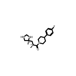 C[C@@H](C[C@]1(C)CNCN1)C(=O)N1CCC(c2ccc(F)cc2)CC1